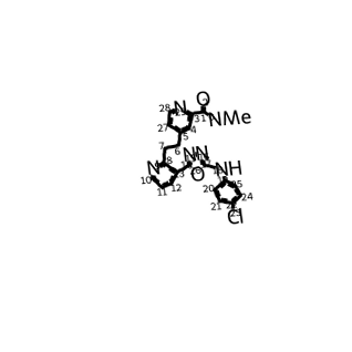 CNC(=O)c1cc(CCc2ncccc2-c2nnc(Nc3ccc(Cl)cc3)o2)ccn1